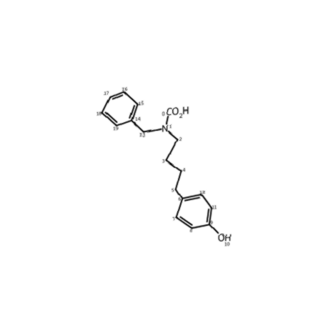 O=C(O)N(CCCCc1ccc(O)cc1)Cc1ccccc1